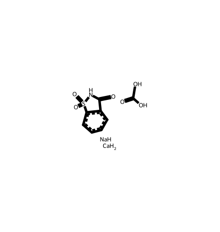 O=C(O)O.O=C1NS(=O)(=O)c2ccccc21.[CaH2].[NaH]